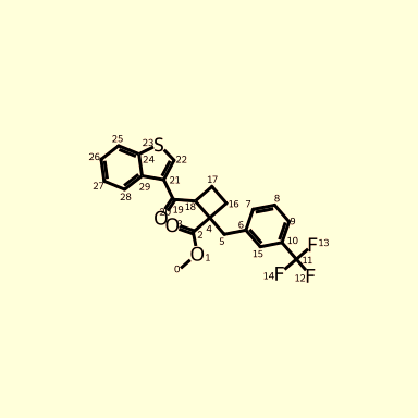 COC(=O)C1(Cc2cccc(C(F)(F)F)c2)CCC1C(=O)c1csc2ccccc12